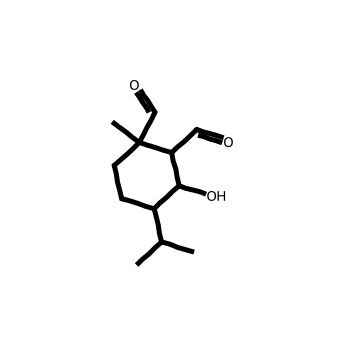 CC(C)C1CCC(C)(C=O)C(C=O)C1O